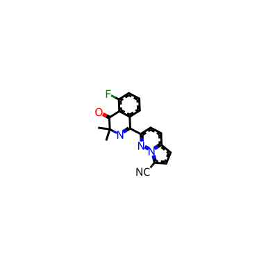 CC1(C)N=C(c2ccc3ccc(C#N)n3n2)c2cccc(F)c2C1=O